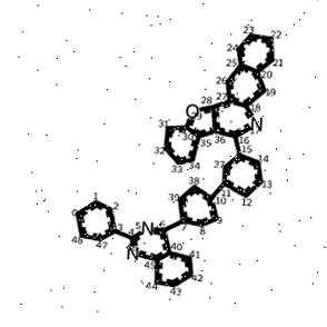 c1ccc(-c2nc(-c3ccc(-c4cccc(-c5nc6cc7ccccc7cc6c6oc7ccccc7c56)c4)cc3)c3ccccc3n2)cc1